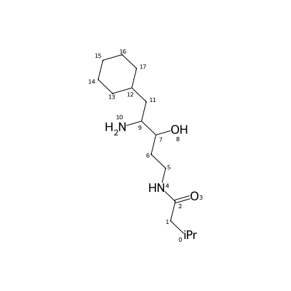 CC(C)CC(=O)NCCC(O)C(N)CC1CCCCC1